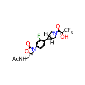 CC(=O)NC[C@H]1CN(c2ccc(C3[C@H]4CN(C(=O)[C@H](O)C(F)(F)F)C[C@@H]34)c(F)c2)C(=O)O1